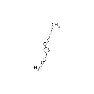 CCCCCCCCOc1ccc(C[CH]COCC)cc1